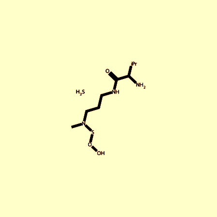 CC(C)C(N)C(=O)NCCCN(C)SOO.S